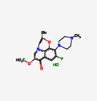 CN1CCN(c2c(F)cc3c(=O)c(OC(=O)O)cn4c3c2OC(C(C)(C)C)=C4)CC1.Cl